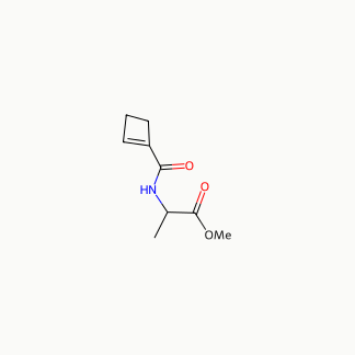 COC(=O)C(C)NC(=O)C1=CCC1